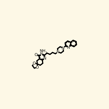 Nn1c(CCCCN2CCN(c3ccc4ccccc4n3)CC2)nc2c(c1=O)CC1(CC2)OCCO1